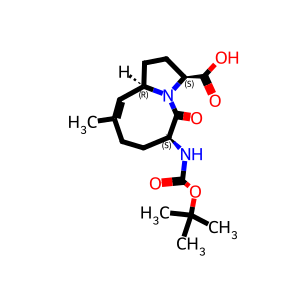 CC1=C[C@H]2CC[C@@H](C(=O)O)N2C(=O)[C@@H](NC(=O)OC(C)(C)C)CC1